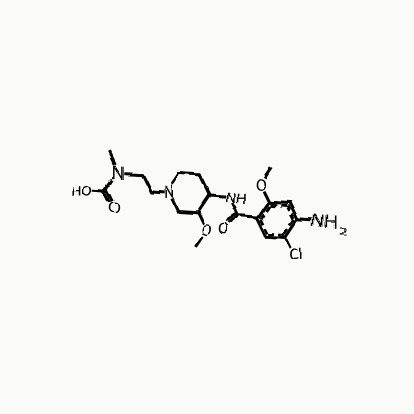 COc1cc(N)c(Cl)cc1C(=O)NC1CCN(CCN(C)C(=O)O)CC1OC